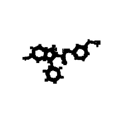 O=C(Nc1cccc(CO)c1)c1[nH]c2ccc(F)cc2c1-c1ccccc1